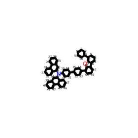 c1ccc(-c2cccc3c2oc2c(-c4ccc(-c5ccc(N(c6cc7ccccc7c7ccccc67)c6cc7ccccc7c7ccccc67)cc5)cc4)cccc23)cc1